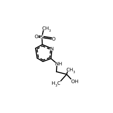 CC(C)(O)CNc1cccc(S(C)(=O)=O)n1